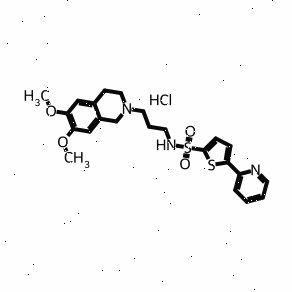 COc1cc2c(cc1OC)CN(CCCNS(=O)(=O)c1ccc(-c3ccccn3)s1)CC2.Cl